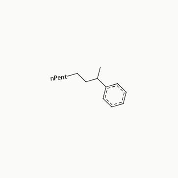 CCC[CH]CCCC(C)c1ccccc1